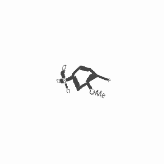 COc1cc(S(=O)(=O)Cl)ccc1F